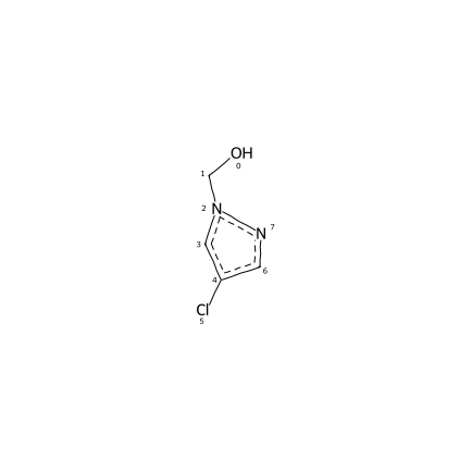 OCn1cc(Cl)cn1